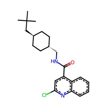 CC(C)(C)[CH][C@H]1CC[C@H](CNC(=O)c2cc(Cl)nc3ccccc23)CC1